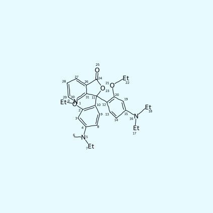 CCOc1cc(N(C)CC)ccc1C1(c2ccc(N(CC)CC)cc2OCC)OC(=O)c2cccnc21